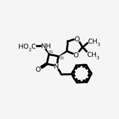 CC1(C)OCC([C@@H]2[C@H](NC(=O)O)C(=O)N2Cc2ccccc2)O1